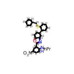 CCCNc1ccc([N+](=O)[O-])cc1-c1nc2cc(-c3ccccc3SCc3ccccc3)ccc2o1